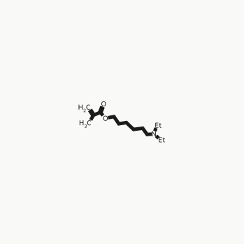 C=C(C)C(=O)OCCCCCCN(CC)CC